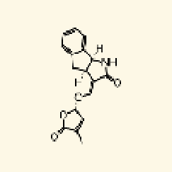 CC1=C[C@@H](O/C=C2/C(=O)N[C@@H]3c4ccccc4C[C@H]23)OC1=O